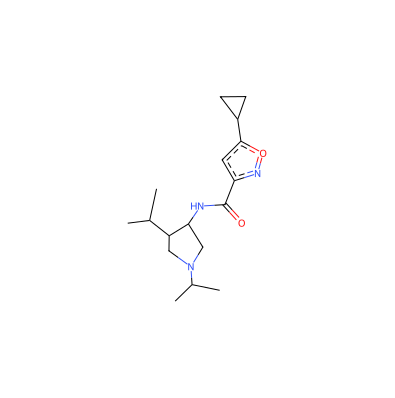 CC(C)C1CN(C(C)C)CC1NC(=O)c1cc(C2CC2)on1